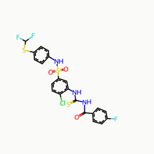 O=C(NC(=S)Nc1cc(S(=O)(=O)Nc2ccc(SC(F)F)cc2)ccc1Cl)c1ccc(F)cc1